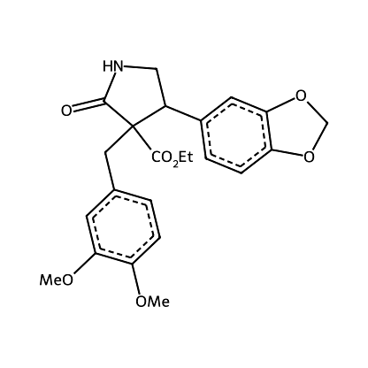 CCOC(=O)C1(Cc2ccc(OC)c(OC)c2)C(=O)NCC1c1ccc2c(c1)OCO2